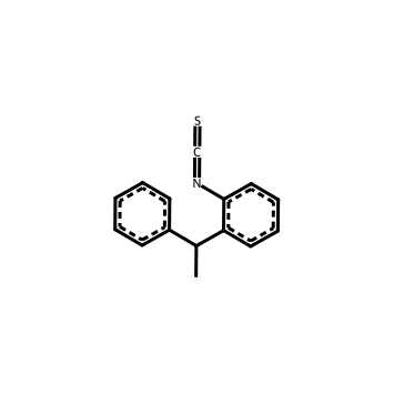 CC(c1ccccc1)c1ccccc1N=C=S